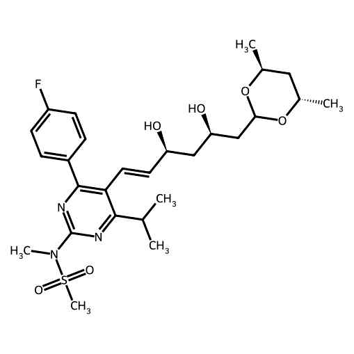 CC(C)c1nc(N(C)S(C)(=O)=O)nc(-c2ccc(F)cc2)c1/C=C/[C@@H](O)C[C@@H](O)CC1O[C@@H](C)C[C@H](C)O1